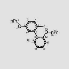 CCCOc1ccc(C)c(-c2c(C)cccc2OCCC)c1